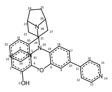 Oc1cccc2c1Oc1cc(-c3ccncc3)ccc1N2C1CC2CCC(C1)N2Cc1ccccn1